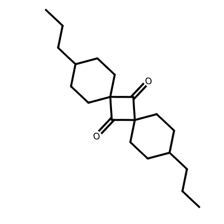 CCCC1CCC2(CC1)C(=O)C1(CCC(CCC)CC1)C2=O